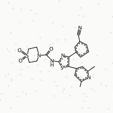 Cc1cc(-c2sc(NC(=O)N3CCS(=O)(=O)CC3)nc2-c2cccc(C#N)c2)cc(C)n1